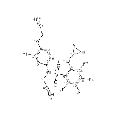 C#CCOc1ccc(N(CC#C)S(=O)(=O)c2c(F)c(F)c(F)c(F)c2OC2CC2)cc1F